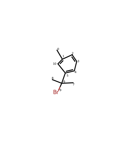 Cc1cccc(C(C)(C)Br)c1